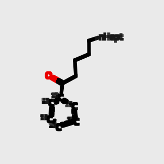 CCCCCCCCCCCC(=O)[13c]1[13cH][13cH][13cH][13cH][13cH]1